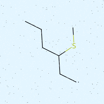 [CH2]CC(CCC)SC